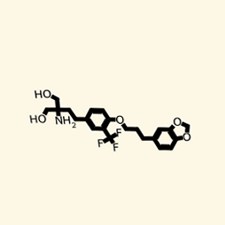 NC(CO)(CO)CCc1ccc(OCCCc2ccc3c(c2)OCO3)c(C(F)(F)F)c1